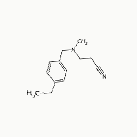 CCc1ccc(CN(C)CCC#N)cc1